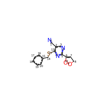 N#Cc1cnc(C2=CCOO2)nc1SCc1ccccc1